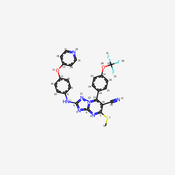 CSc1nc2nc(Nc3ccc(Oc4ccncc4)cc3)nn2c(-c2ccc(OC(F)(F)F)cc2)c1C#N